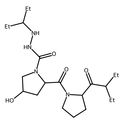 CCC(CC)NNC(=O)N1CC(O)CC1C(=O)N1CCCC1C(=O)C(CC)CC